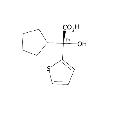 O=C(O)[C@@](O)(c1cccs1)C1CCCC1